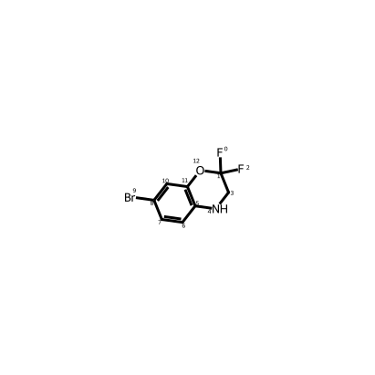 FC1(F)CNc2ccc(Br)cc2O1